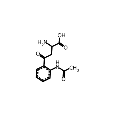 CC(=O)Nc1ccccc1C(=O)CC(N)C(=O)O